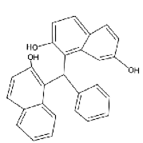 Oc1ccc2ccc(O)c(C(c3ccccc3)c3c(O)ccc4ccccc34)c2c1